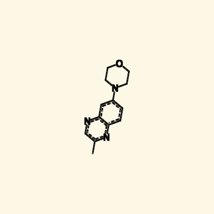 Cc1cnc2cc(N3CCOCC3)ccc2n1